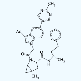 CC(=O)c1nn(CC(=O)N2C3C[C@]3(C)C[C@H]2C(=O)N[C@@H](C)CCc2ccccc2)c2ccc(-c3cnc(C)nc3)cc12